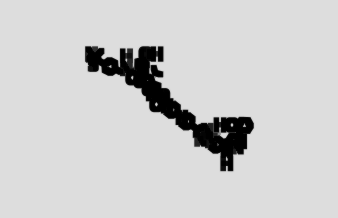 Cc1ncsc1-c1ccc(CNC(=O)[C@@H]2C[C@@H](O)CN2C(=O)[C@@H](c2cc(OC(=O)N3CCC(N4CCC(c5cnc(N6CCc7[nH]c8nnc(-c9ccccc9O)cc8c7[C@H]6C)nc5)CC4)CC3)no2)C(C)C)cc1